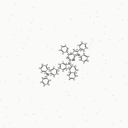 c1ccc(-c2nc(-n3c4ccc(-c5ccc6c(c5)c5ccccc5n6-c5ccccc5)cc4c4c5ccccc5ccc43)nc3c2cc(-c2ccccc2)n3-c2ccccc2)cc1